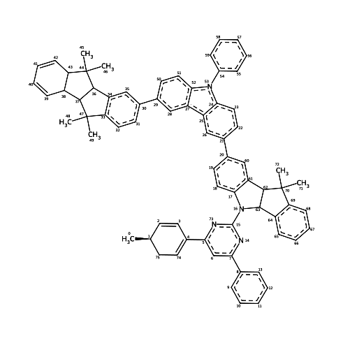 C[C@H]1C=CC(c2cc(-c3ccccc3)nc(N3c4ccc(-c5ccc6c(c5)c5cc(-c7ccc8c(c7)C7C(C9C=CC=CC9C7(C)C)C8(C)C)ccc5n6-c5ccccc5)cc4C4C3c3ccccc3C4(C)C)n2)=CC1